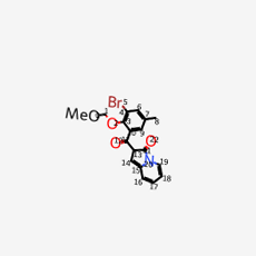 COCOc1c(Br)cc(C)cc1C(=O)C1C=C2C=CC=CN2C1=O